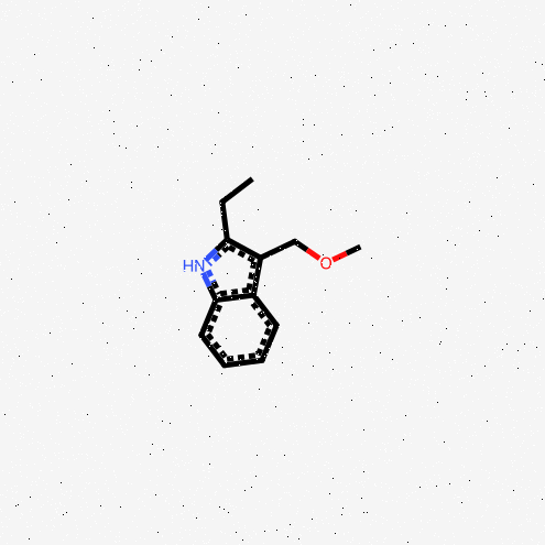 CCc1[nH]c2ccccc2c1COC